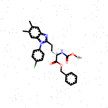 Cc1cc2nc(CC[C@H](NC(=O)OC(C)(C)C)C(=O)OCc3ccccc3)n(-c3ccc(F)cc3)c2cc1C